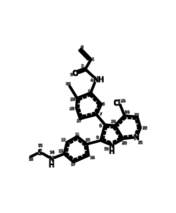 C=CC(=O)Nc1cc(-c2c(-c3ccc(NSC)cc3)[nH]c3nccc(Cl)c23)ccc1C